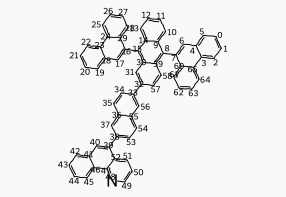 c1ccc2c(c1)cc(-c1c3ccccc3c(-c3cc4ccccc4c4ccccc34)c3cc(-c4ccc5cc(-c6cc7ccccc7c7ncccc67)ccc5c4)ccc13)c1ccccc12